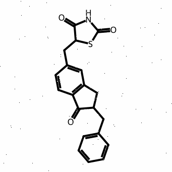 O=C1NC(=O)C(Cc2ccc3c(c2)CC(Cc2ccccc2)C3=O)S1